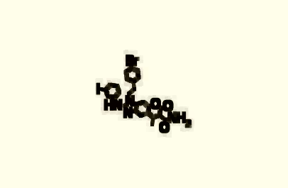 Cc1c(C(N)=O)c(=O)oc2cc3c(cc12)nc(Nc1cccc(I)c1)n3CCc1ccc(Br)cc1